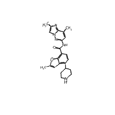 Cc1cn2nc(NC(=O)c3ccc(C4CCNCC4)c4cc(C)oc34)cc(C)c2n1